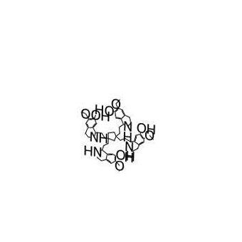 COc1cc2c(cc1O)C(CCC1(CCC3NCCc4cc(OC)c(O)cc43)CCC(CCC3NCCc4cc(OC)c(O)cc43)(CCC3NCCc4cc(OC)c(O)cc43)C1)NCC2